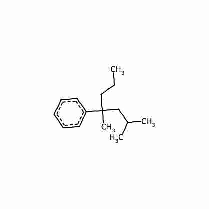 CCCC(C)(CC(C)C)c1ccccc1